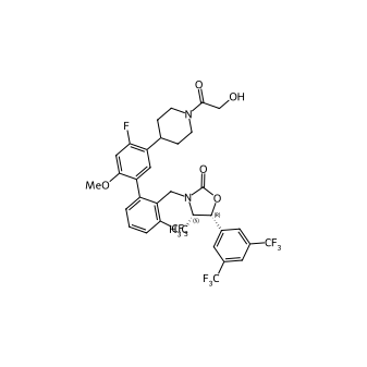 COc1cc(F)c(C2CCN(C(=O)CO)CC2)cc1-c1cccc(C(F)(F)F)c1CN1C(=O)O[C@H](c2cc(C(F)(F)F)cc(C(F)(F)F)c2)[C@@H]1C